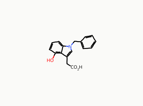 O=C(O)Cc1cn(Cc2ccccc2)c2cccc(O)c12